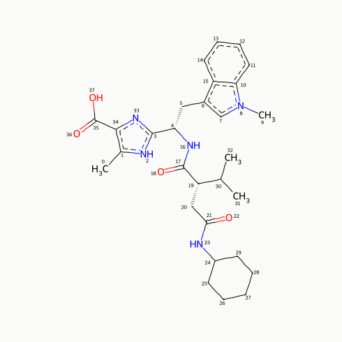 Cc1[nH]c([C@H](Cc2cn(C)c3ccccc23)NC(=O)[C@@H](CC(=O)NC2CCCCC2)C(C)C)nc1C(=O)O